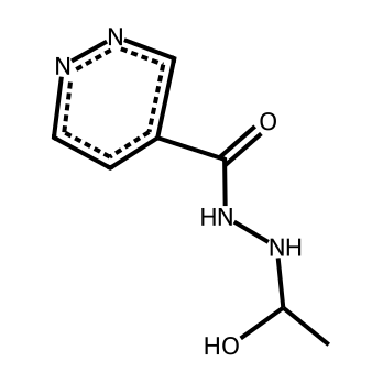 CC(O)NNC(=O)c1ccnnc1